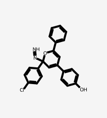 N=NC1(c2ccc(Cl)cc2)C=C(c2ccc(O)cc2)C=C(c2ccccc2)O1